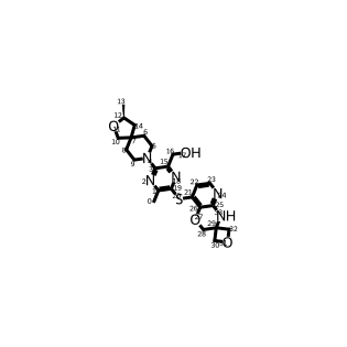 Cc1nc(N2CCC3(CC2)CO[C@@H](C)C3)c(CO)nc1Sc1ccnc2c1OCC1(COC1)N2